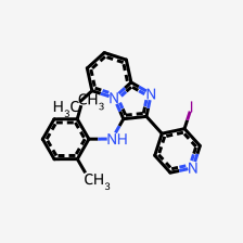 Cc1cccc(C)c1Nc1c(-c2ccncc2I)nc2cccc(C)n12